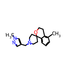 Cc1cccc2c1CCOC21CCN(Cc2cnn(C)c2)CC1